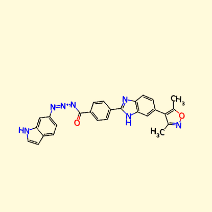 Cc1noc(C)c1-c1ccc2nc(-c3ccc(C(=O)N=[N+]=Nc4ccc5cc[nH]c5c4)cc3)[nH]c2c1